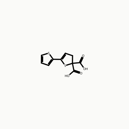 O=C(O)C1(C(=O)O)CC=C(c2cccs2)S1